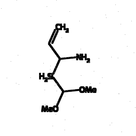 C=CC(N)[SiH2]C(OC)OC